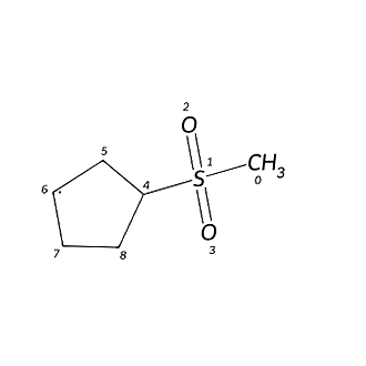 CS(=O)(=O)C1C[CH]CC1